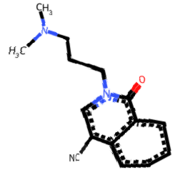 CN(C)CCCn1cc(C#N)c2ccccc2c1=O